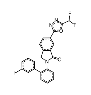 O=C1c2cc(-c3nnc(C(F)F)o3)ccc2CN1c1ccccc1-c1cccc(F)c1